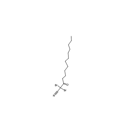 CCCCCCCCCCCC(=O)C(Br)(Br)C#N